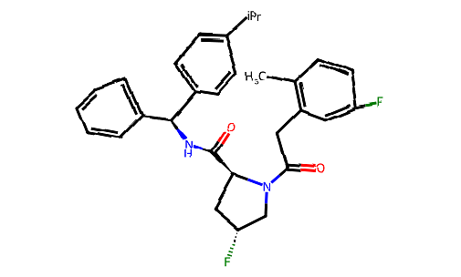 Cc1ccc(F)cc1CC(=O)N1C[C@H](F)C[C@H]1C(=O)N[C@@H](c1ccccc1)c1ccc(C(C)C)cc1